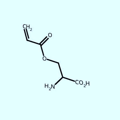 C=CC(=O)OCC(N)C(=O)O